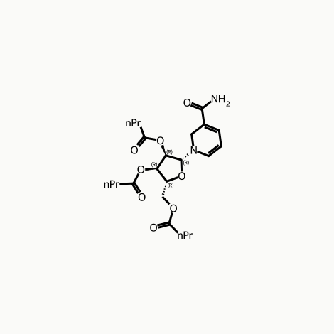 CCCC(=O)OC[C@H]1O[C@@H](N2C=CC=C(C(N)=O)C2)[C@H](OC(=O)CCC)[C@@H]1OC(=O)CCC